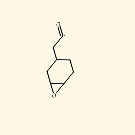 O=[C]CC1CCC2OC2C1